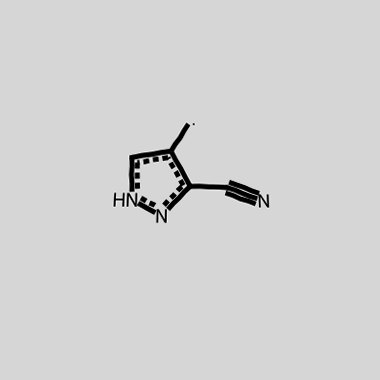 [CH2]c1c[nH]nc1C#N